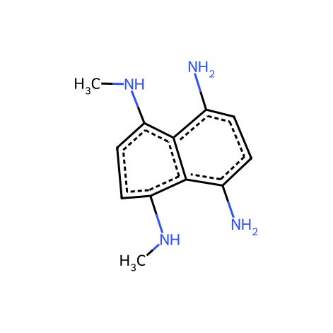 CNc1ccc(NC)c2c(N)ccc(N)c12